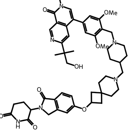 COc1cc(-c2cn(C)c(=O)c3cnc(C(C)(C)CO)cc23)cc(OC)c1CN1CCC(CN2CCC3(CC2)CC(Oc2ccc4c(c2)CN(C2CCC(=O)NC2=O)C4=O)C3)CC1